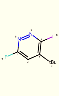 CC(C)(C)c1cc(F)nnc1I